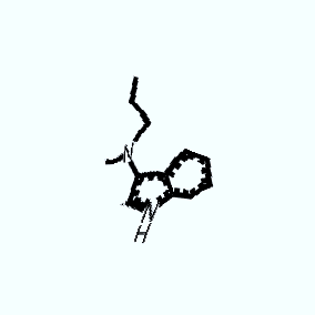 CCCN(C)c1[c][nH]c2ccccc12